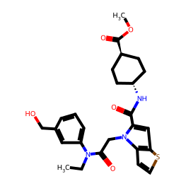 CCN(C(=O)Cn1c(C(=O)N[C@H]2CC[C@H](C(=O)OC)CC2)cc2sccc21)c1cccc(CO)c1